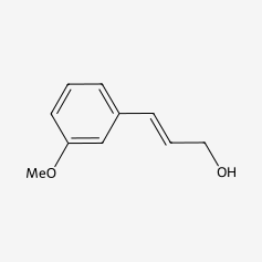 COc1cccc(C=CCO)c1